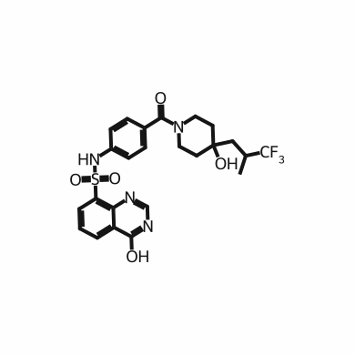 CC(CC1(O)CCN(C(=O)c2ccc(NS(=O)(=O)c3cccc4c(O)ncnc34)cc2)CC1)C(F)(F)F